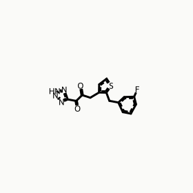 O=C(Cc1ccsc1Cc1cccc(F)c1)C(=O)c1nn[nH]n1